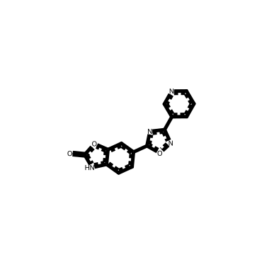 O=c1[nH]c2ccc(-c3nc(-c4cccnc4)no3)cc2o1